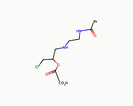 CC(C)C(=O)NCCNCC(CCl)OC(=O)C(=O)O